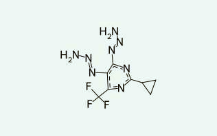 NN=Nc1nc(C2CC2)nc(C(F)(F)F)c1N=NN